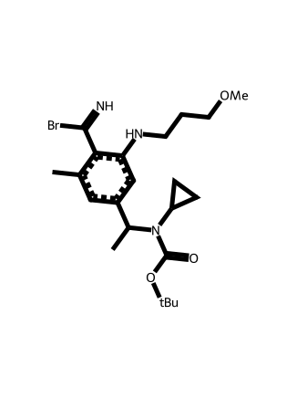 COCCCNc1cc(C(C)N(C(=O)OC(C)(C)C)C2CC2)cc(C)c1C(=N)Br